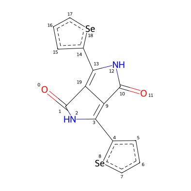 O=C1NC(c2ccc[se]2)=C2C(=O)NC(c3ccc[se]3)=C12